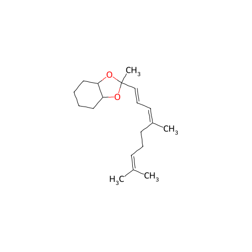 CC(C)=CCCC(C)=CC=CC1(C)OC2CCCCC2O1